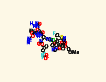 COc1ccc(COC(=O)[C@@H](Cc2ccccc2OCc2ccnc(-c3ccccc3OC)n2)Oc2ncnc3sc(-c4ccc(F)cc4)c(-c4ccc(OCCN5CC[N+](C)(Cc6ccc(NC(=O)[C@H](CCCNC(N)=O)NC(=O)[C@@H](NC(=O)OCCN=[N+]=[N-])C(C)C)cc6CN(C)C(=O)OCC6c7ccccc7-c7ccccc76)CC5)c(Cl)c4C)c23)cc1.O=C([O-])C(F)(F)F